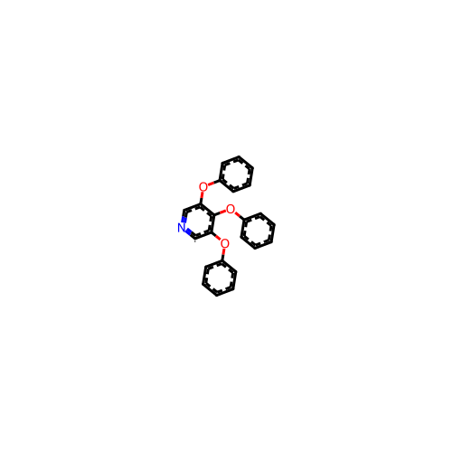 [c]1ncc(Oc2ccccc2)c(Oc2ccccc2)c1Oc1ccccc1